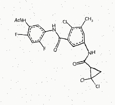 CC(=O)Nc1cc(NC(=O)c2cc(NC(=O)C3CC3(Cl)Cl)cc(C)c2Cl)c(F)cc1F